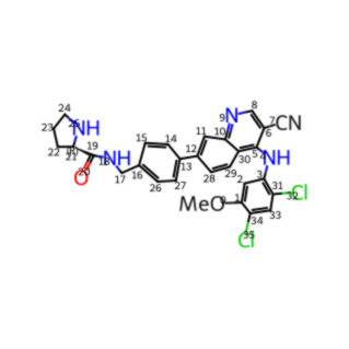 COc1cc(Nc2c(C#N)cnc3cc(-c4ccc(CNC(=O)[C@H]5CCCN5)cc4)ccc23)c(Cl)cc1Cl